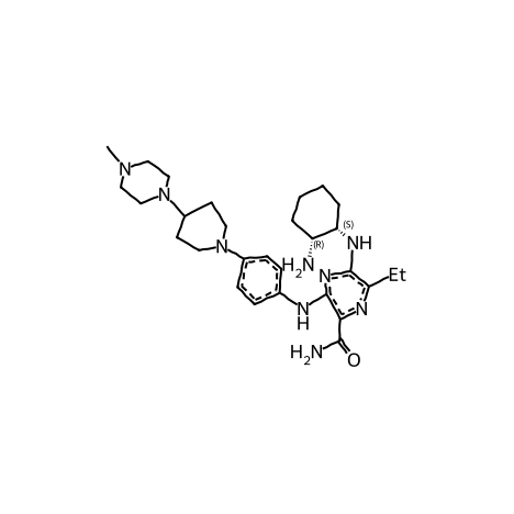 CCc1nc(C(N)=O)c(Nc2ccc(N3CCC(N4CCN(C)CC4)CC3)cc2)nc1N[C@H]1CCCC[C@H]1N